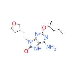 CCC[C@H](C)Oc1nc(N)c2[nH]c(=O)n(CC[C@@H]3CCOC3)c2n1